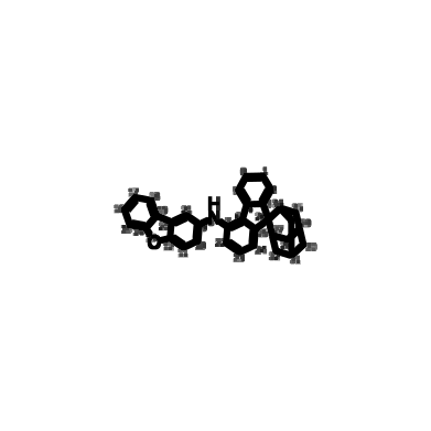 c1ccc2c(c1)-c1c(Nc3ccc4oc5ccccc5c4c3)cccc1C21C2CC3CC(C2)CC1C3